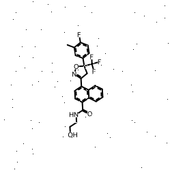 Cc1cc(C2(C(F)(F)F)CC(c3ccc(C(=O)NCCO)c4ccccc34)=NO2)ccc1F